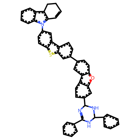 C1=Cc2c(c3ccccc3n2-c2ccc3sc4cc(-c5ccc6oc7cc(C8N=C(c9ccccc9)NC(c9ccccc9)N8)ccc7c6c5)ccc4c3c2)CC1